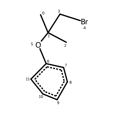 CC(C)(CBr)Oc1ccccc1